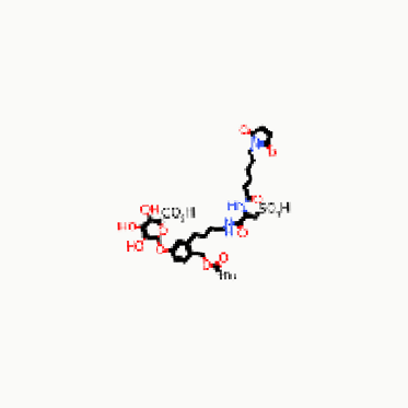 CC(C)(C)C(=O)OCc1ccc(O[C@@H]2O[C@H](C(=O)O)[C@@H](O)[C@H](O)[C@H]2O)cc1CCCCNC(=O)C(CS(=O)(=O)O)NC(=O)CCCCCN1C(=O)C=CC1=O